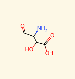 N[C@H](C=O)C(O)C(=O)O